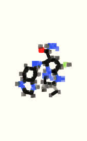 CC[C@@H](Nc1nc(Nc2ccc3nccnc3c2)c(C(N)=O)cc1F)[C@H](C)N